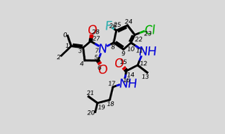 CC(C)=C1CC(=O)N(c2cc(NC(C)C(=O)NCCC(C)C)c(Cl)cc2F)C1=O